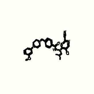 COc1cccc(N2CCN(Cc3ccc(C(=O)NN(CC(C)C)c4nc(C#N)ncc4Cl)cc3)CC2)c1